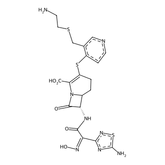 NCCSCc1cnccc1SC1=C(C(=O)O)N2C(=O)[C@@H](NC(=O)/C(=N\O)c3nsc(N)n3)C2CC1